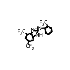 FC(F)(F)c1cc(C(F)(F)F)c2nc(Nc3ccccc3C(F)(F)F)[nH]c2c1